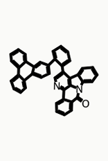 O=c1c2ccccc2c2ncc(-c3ccccc3-c3ccc4c5ccccc5c5ccccc5c4c3)c3c4ccccc4n1c23